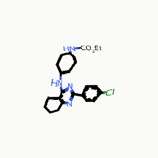 CCOC(=O)NC1CCC(Nc2nc(-c3ccc(Cl)cc3)nc3c2CCCC3)CC1